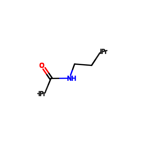 C[C](C)C(=O)NCCC(C)C